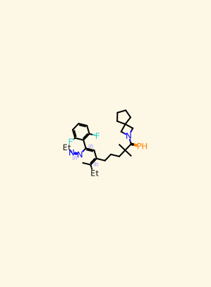 CC\N=N/C(=C\C(CCCC(C)(C)C(=P)N1CC2(CCCC2)C1)=C(/C)CC)c1c(F)cccc1F